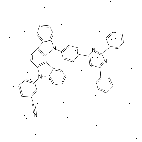 N#Cc1cccc(-n2c3ccccc3c3c2ccc2c4ccccc4n(-c4ccc(-c5nc(-c6ccccc6)nc(-c6ccccc6)n5)cc4)c23)c1